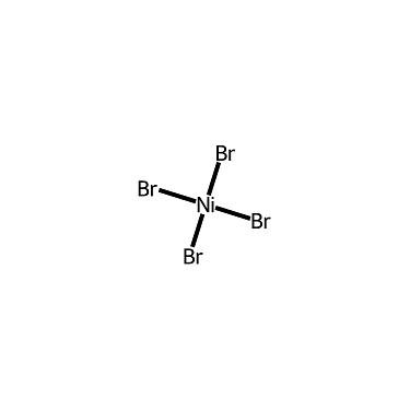 [Br][Ni]([Br])([Br])[Br]